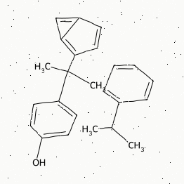 CC(C)(c1ccc(O)cc1)c1ccc2cc1-2.C[C](C)c1ccccc1